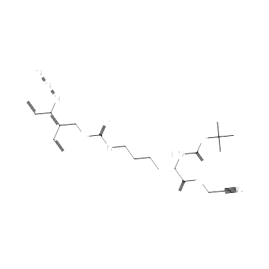 C=C/C(COC(=O)NCCCC[C@H](NC(=O)OC(C)(C)C)C(=O)OCC#N)=C(\C=C)N=[N+]=[N-]